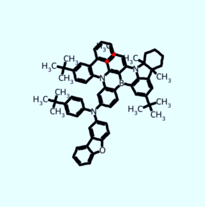 Cc1cc2c3c(c1)N1c4c(cc(C(C)(C)C)cc4C4(C)CCCCC14C)B3c1ccc(N(c3ccc(C(C)(C)C)cc3)c3ccc4oc5ccccc5c4c3)cc1N2c1ccc(C(C)(C)C)cc1-c1ccccc1